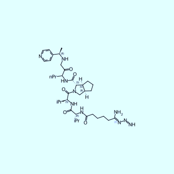 CCCC(NC(=O)[C@@H]1[C@H]2CCC[C@H]2CN1C(=O)[C@@H](NC(=O)[C@H](NC(=O)CCCC/C(N)=N/N=N)C(C)C)C(C)C)C(=O)CN[C@H](C)c1ccncc1